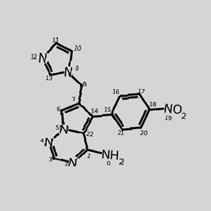 Nc1ncnn2cc(Cn3ccnc3)c(-c3ccc([N+](=O)[O-])cc3)c12